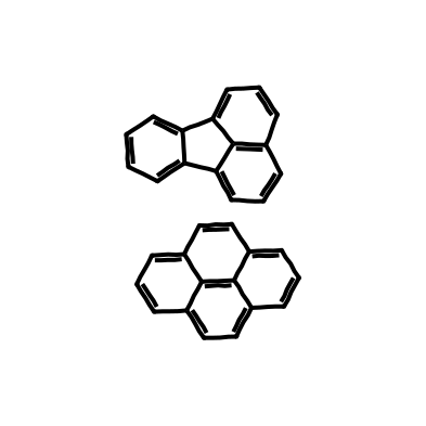 c1cc2ccc3cccc4ccc(c1)c2c34.c1ccc2c(c1)-c1cccc3cccc-2c13